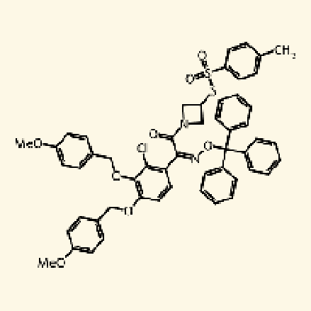 COc1ccc(COc2ccc(/C(=N/OC(c3ccccc3)(c3ccccc3)c3ccccc3)C(=O)N3CC(SS(=O)(=O)c4ccc(C)cc4)C3)c(Cl)c2OCc2ccc(OC)cc2)cc1